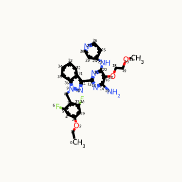 CCOc1cc(F)c(Cn2nc(-c3nc(N)c(OCCOC)c(Nc4ccncc4)n3)c3ccccc32)c(F)c1